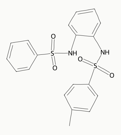 Cc1ccc(S(=O)(=O)Nc2ccccc2NS(=O)(=O)c2ccccc2)cc1